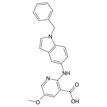 COc1cnc(Nc2ccc3c(ccn3Cc3ccccc3)c2)c(C(=O)O)c1